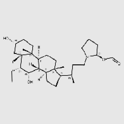 CC[C@H]1[C@@H](O)[C@@H]2[C@H](CC[C@]3(C)[C@@H]([C@H](C)CCN4CCC[C@H]4OC=O)CC[C@@H]23)[C@@]2(C)CC[C@@H](O)C[C@@H]12